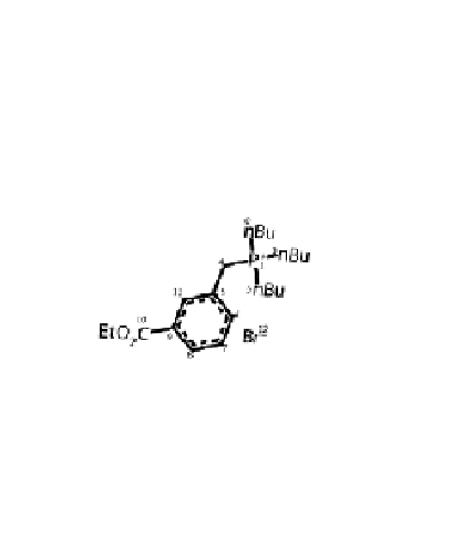 CCCC[P+](CCCC)(CCCC)Cc1cccc(C(=O)OCC)c1.[Br-]